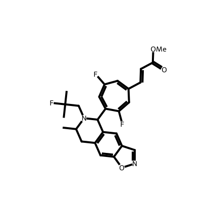 COC(=O)/C=C/C1=CC(F)=C=C(C2c3cc4cnoc4cc3CC(C)N2CC(C)(C)F)C(F)=C1